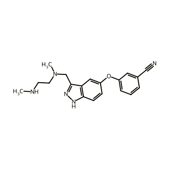 CNCCN(C)Cc1n[nH]c2ccc(Oc3cccc(C#N)c3)cc12